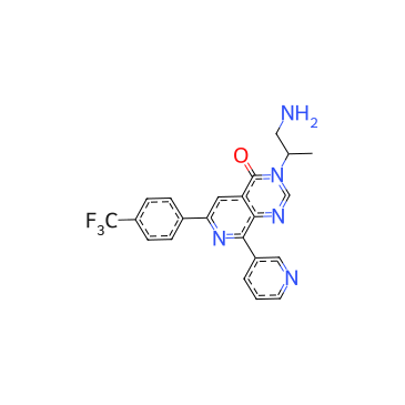 CC(CN)n1cnc2c(-c3cccnc3)nc(-c3ccc(C(F)(F)F)cc3)cc2c1=O